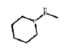 CBP1CCCCC1